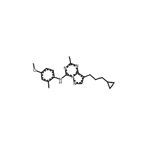 COc1ccc(Nc2nc(C)nc3c(CCCC4CC4)cnn23)c(C)c1